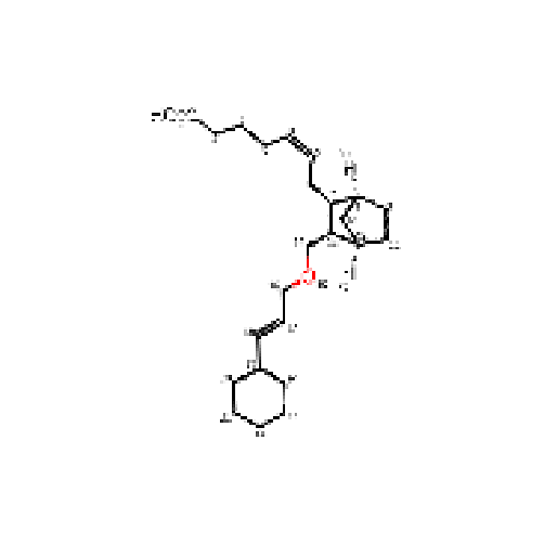 O=C(O)CCC/C=C\C[C@H]1[C@H]2CC[C@H](C2)[C@H]1COC/C=C/C1CCCCC1